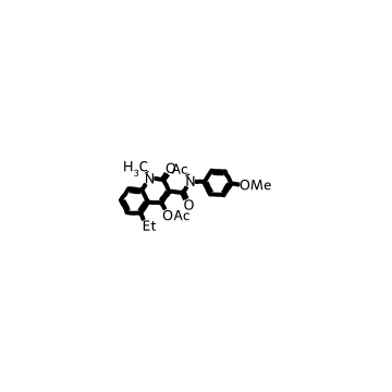 CCc1cccc2c1c(OC(C)=O)c(C(=O)N(C(C)=O)c1ccc(OC)cc1)c(=O)n2C